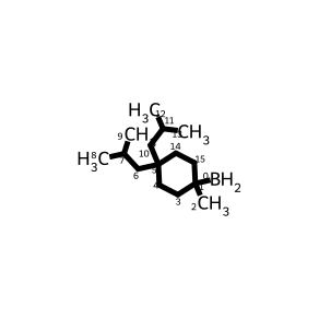 BC1(C)CCC(CC(C)C)(CC(C)C)CC1